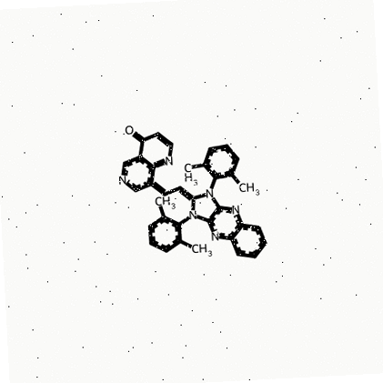 Cc1cccc(C)c1N1C(=C/C=c2/cncc3c2=NC=CC3=O)N(c2c(C)cccc2C)c2nc3ccccc3nc21